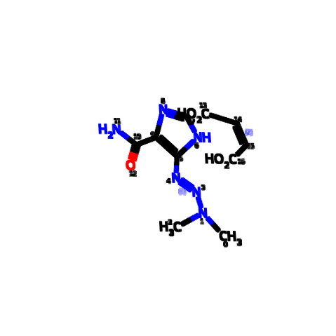 CN(C)/N=N/c1[nH]cnc1C(N)=O.O=C(O)/C=C\C(=O)O